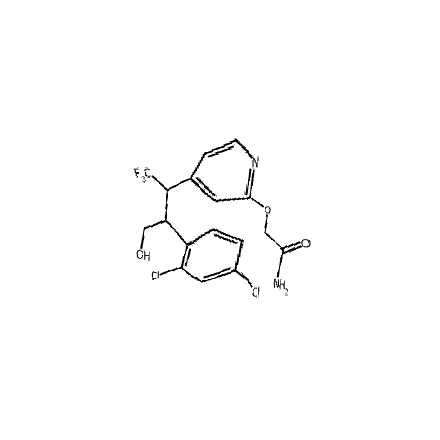 NC(=O)COc1cc(C(C(CO)c2ccc(Cl)cc2Cl)C(F)(F)F)ccn1